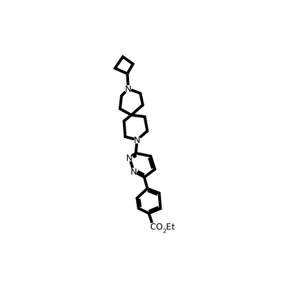 CCOC(=O)c1ccc(-c2ccc(N3CCC4(CC3)CCN(C3CCC3)CC4)nn2)cc1